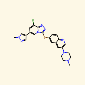 CN1CCN(c2cnc3ccc(Sc4nnc5c(F)cc(-c6cnn(C)c6)cn45)cc3c2)CC1